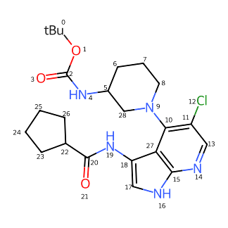 CC(C)(C)OC(=O)NC1CCCN(c2c(Cl)cnc3[nH]cc(NC(=O)C4CCCC4)c23)C1